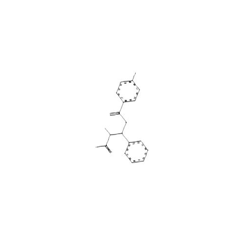 O=C(CC(c1ccccc1)C(S)C(=O)O)c1ccc(Cl)cc1